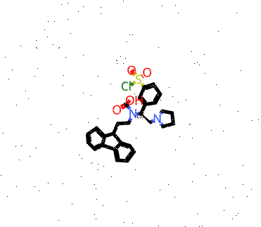 O=C(O)N(CCC1c2ccccc2-c2ccccc21)[C@H](CN1CCCC1)c1cccc(S(=O)(=O)Cl)c1